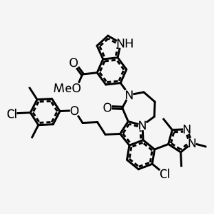 COC(=O)c1cc(N2CCCn3c(c(CCCOc4cc(C)c(Cl)c(C)c4)c4ccc(Cl)c(-c5c(C)nn(C)c5C)c43)C2=O)cc2[nH]ccc12